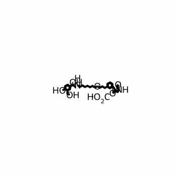 CC(=O)O.O=C1CNC(=O)N1c1cccc(CCCOCCCCCCCNC[C@H](O)c2ccc(O)c(CO)c2)c1